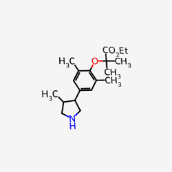 CCOC(=O)C(C)(C)Oc1c(C)cc(C2CNCC2C)cc1C